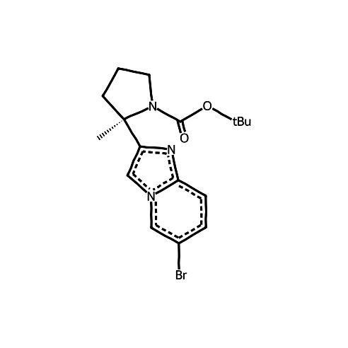 CC(C)(C)OC(=O)N1CCC[C@]1(C)c1cn2cc(Br)ccc2n1